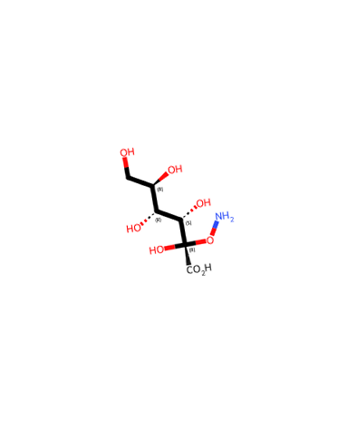 NO[C@@](O)(C(=O)O)[C@@H](O)[C@H](O)[C@H](O)CO